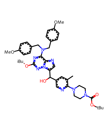 CC[C@@H](C)Oc1nc(N(Cc2ccc(OC)cc2)Cc2ccc(OC)cc2)c2ncc(C(O)c3cnc(N4CCN(C(=O)OC(C)(C)C)CC4)c(C)c3)n2n1